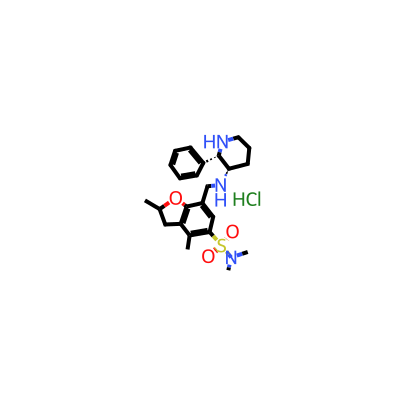 Cc1c(S(=O)(=O)N(C)C)cc(CN[C@H]2CCCN[C@H]2c2ccccc2)c2c1CC(C)O2.Cl